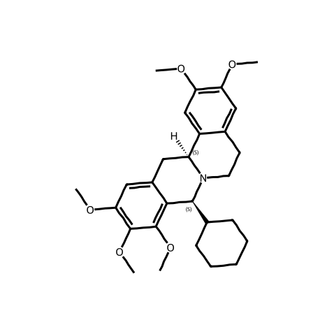 COc1cc2c(cc1OC)[C@@H]1Cc3cc(OC)c(OC)c(OC)c3[C@H](C3CCCCC3)N1CC2